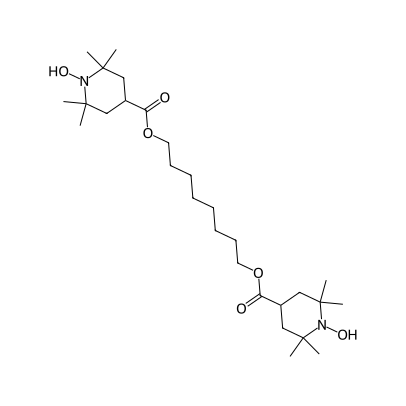 CC1(C)CC(C(=O)OCCCCCCCCOC(=O)C2CC(C)(C)N(O)C(C)(C)C2)CC(C)(C)N1O